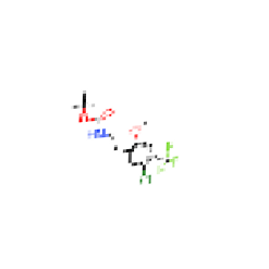 COc1cc(C(F)(F)F)c(Cl)cc1CCNC(=O)OC(C)(C)C